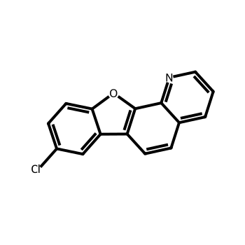 Clc1ccc2oc3c(ccc4cccnc43)c2c1